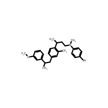 CC(C)c1ccc(N(C)CCC(C)c2ccc(CC(C)c3cccc(OC(F)(F)F)c3)cc2C(F)(F)F)cc1